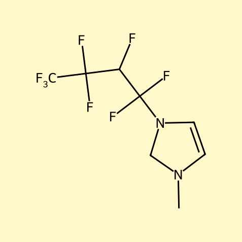 CN1C=CN(C(F)(F)C(F)C(F)(F)C(F)(F)F)C1